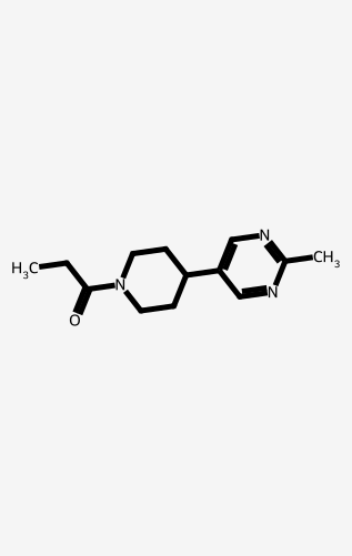 CCC(=O)N1CCC(c2cnc(C)nc2)CC1